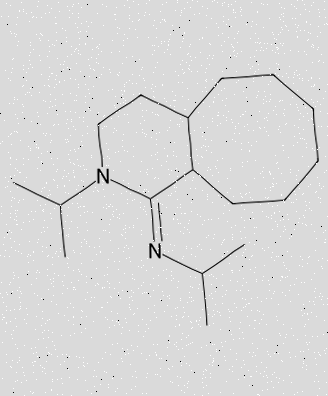 CC(C)/N=C1\C2CCCCCCC2CCN1C(C)C